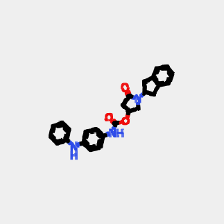 O=C(Nc1ccc(Nc2ccccc2)cc1)OC1CC(=O)N(C2Cc3ccccc3C2)C1